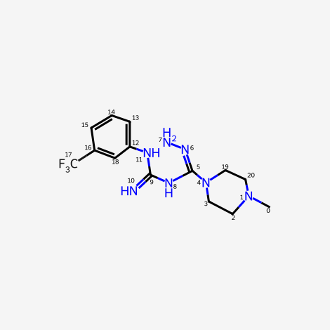 CN1CCN(C(=NN)NC(=N)Nc2cccc(C(F)(F)F)c2)CC1